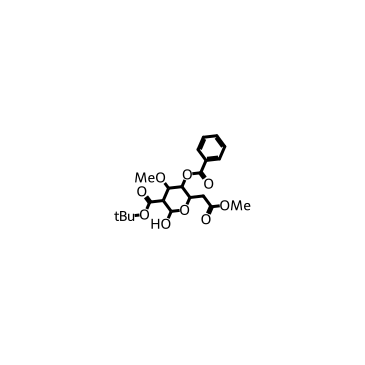 COC(=O)CC1OC(O)C(C(=O)OC(C)(C)C)C(OC)C1OC(=O)c1ccccc1